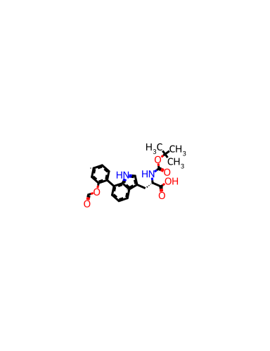 CC(C)(C)OC(=O)N[C@@H](Cc1c[nH]c2c(-c3cc[c]cc3OC=O)cccc12)C(=O)O